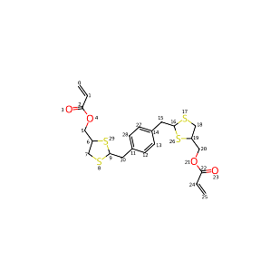 C=CC(=O)OCC1CSC(Cc2ccc(CC3SCC(COC(=O)C=C)S3)cc2)S1